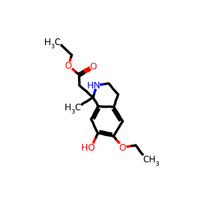 CCOC(=O)CC1(C)NCCc2cc(OCC)c(O)cc21